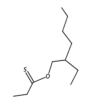 CCCCC(CC)COC(=S)CC